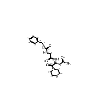 O=C(O)CC(NC(=O)CNC(=O)OCc1ccccc1)C(=O)N1CCCCC1